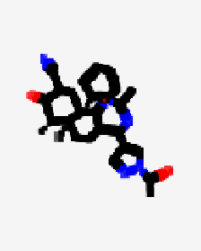 CC(=O)n1cc(-c2nc(C)nc3c2CC[C@H]2[C@H](C)C(=O)C(C#N)C[C@@]32c2ccccc2)cn1